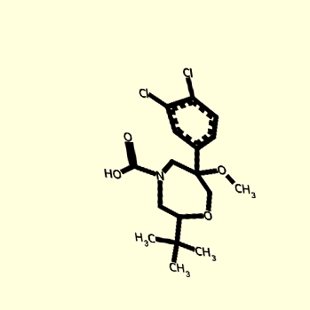 COC1(c2ccc(Cl)c(Cl)c2)COC(C(C)(C)C)CN(C(=O)O)C1